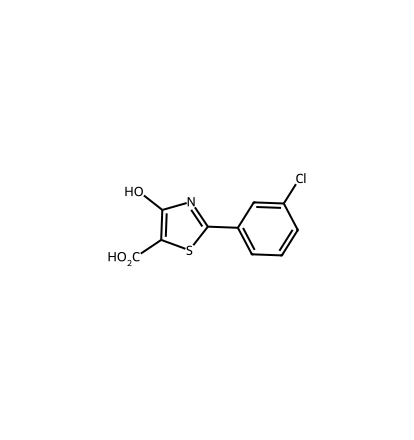 O=C(O)c1sc(-c2cccc(Cl)c2)nc1O